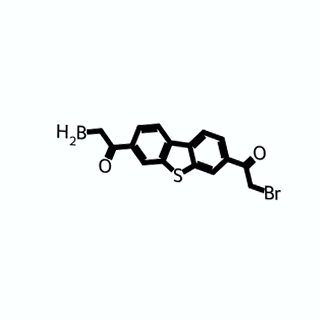 BCC(=O)c1ccc2c(c1)sc1cc(C(=O)CBr)ccc12